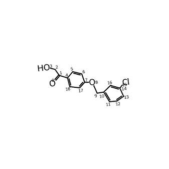 O=C(CO)c1ccc(OCc2cccc(Cl)c2)cc1